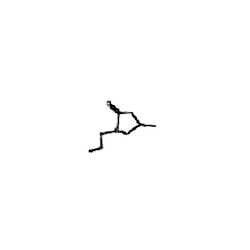 CCCN1CC(C)CC1=O